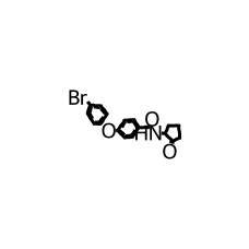 O=C(NC1CCCC1=O)c1ccc(Oc2ccc(Br)cc2)cc1